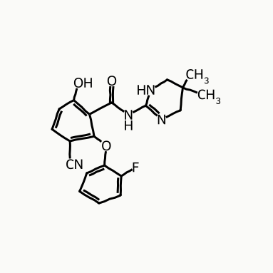 CC1(C)CN=C(NC(=O)c2c(O)ccc(C#N)c2Oc2ccccc2F)NC1